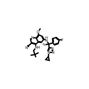 [2H]C(Nc1cc(OC)c2ncc(C#N)c(NCC(C)(C)C)c2c1)(c1ccc(F)cc1)c1cn(C2CC2)nn1